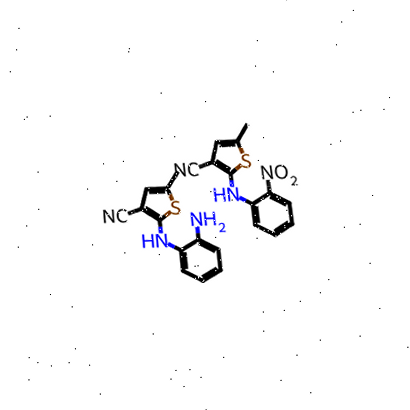 Cc1cc(C#N)c(Nc2ccccc2N)s1.Cc1cc(C#N)c(Nc2ccccc2[N+](=O)[O-])s1